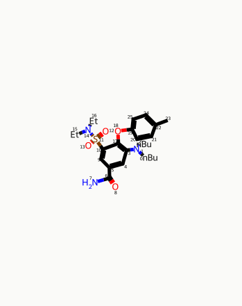 CCCCN(CCCC)c1cc(C(N)=O)cc(S(=O)(=O)N(CC)CC)c1Oc1ccc(C)cc1